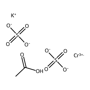 CC(=O)O.O=S(=O)([O-])[O-].O=S(=O)([O-])[O-].[Cr+3].[K+]